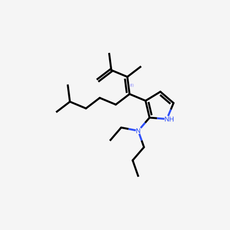 C=C(C)/C(C)=C(\CCCC(C)C)c1cc[nH]c1N(CC)CCC